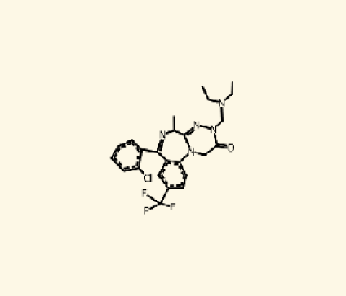 CCN(CC)CN1N=C2C(C)N=C(c3ccccc3Cl)c3cc(C(F)(F)F)ccc3N2CC1=O